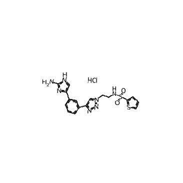 Cl.Nc1nc(-c2cccc(-c3cn(CCNS(=O)(=O)c4cccs4)nn3)c2)c[nH]1